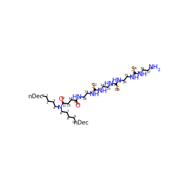 CCCCCCCCCCCCCCN(CCCCCCCCCCCCCC)C(=O)CCC(=O)NCCNC(=S)NCCNC(=S)NCCNC(=S)NCCN